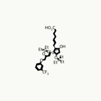 CC[Si](CC)(CC)OC(C=C[C@@H]1[C@@H](CC=CCCCC(=O)O)[C@@H](O)C[C@H]1O[Si](CC)(CC)CC)COc1cccc(C(F)(F)F)c1